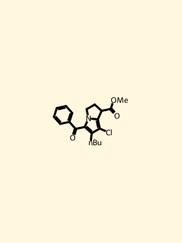 CCCCc1c(Cl)c2n(c1C(=O)c1ccccc1)CCC2C(=O)OC